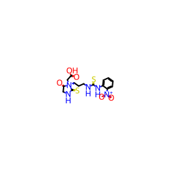 O=C(O)C[N+]1(CCCNC(=S)Nc2ccccc2[N+](=O)[O-])C(=O)CNC1=S